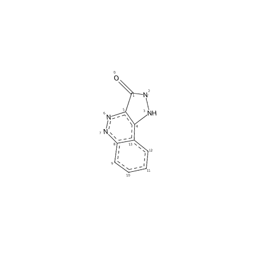 O=C1[N]Nc2c1nnc1ccccc21